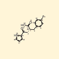 O=C(C[C@@H](Cc1ccc(F)cc1)C(=O)O)c1ccc[nH]1